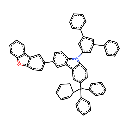 C1=CCC([Si](c2ccccc2)(c2ccccc2)c2ccc3c(c2)c2cc(-c4ccc5oc6ccccc6c5c4)ccc2n3-c2cc(-c3ccccc3)cc(-c3ccccc3)c2)C=C1